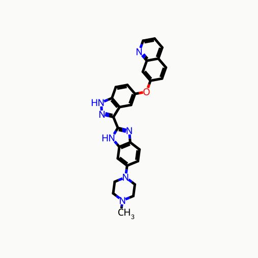 CN1CCN(c2ccc3nc(-c4n[nH]c5ccc(Oc6ccc7cccnc7c6)cc45)[nH]c3c2)CC1